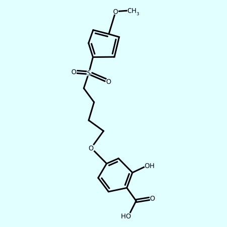 COc1ccc(S(=O)(=O)CCCCOc2ccc(C(=O)O)c(O)c2)cc1